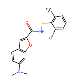 CN(C)c1ccc2cc(C(=O)NSc3c(Cl)cccc3C(F)(F)F)oc2c1